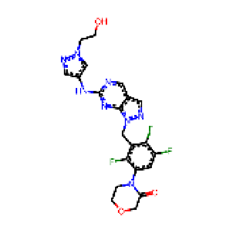 O=C1COCCN1c1cc(F)c(F)c(Cn2ncc3cnc(Nc4cnn(CCO)c4)nc32)c1F